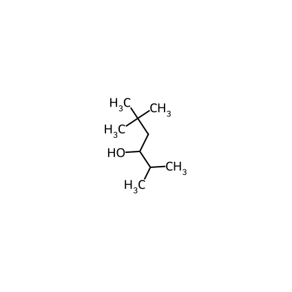 CC(C)C(O)CC(C)(C)C